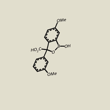 COc1cccc(C2(C(=O)O)OB(O)c3cc(OC)ccc32)c1